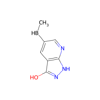 CBc1cnc2[nH]nc(O)c2c1